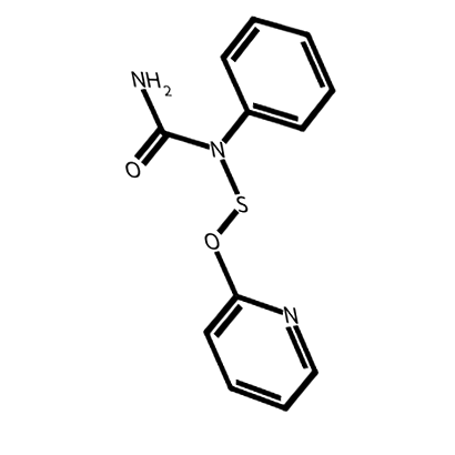 NC(=O)N(SOc1ccccn1)c1ccccc1